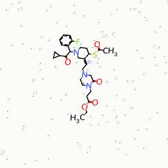 CCOC(=O)CCN1CCN(C/C=C2\CN(C(C(=O)C3CC3)c3ccccc3F)CCC2SC(C)=O)CC1=O